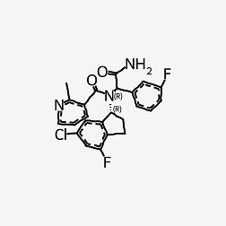 Cc1ncccc1C(=O)N([C@@H]1CCc2c(F)cc(Cl)cc21)[C@@H](C(N)=O)c1cccc(F)c1